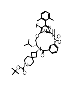 Cc1cccc(C)c1-c1nc2nc(c1F)OC[C@@H](CC(C)C)N(C1CC3(CCN(C(=O)OC(C)(C)C)CC3)C1)C(=O)c1cccc(c1)S(=O)(=O)N2